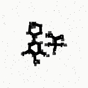 N#Cc1c(F)cc(N2CCNCC2)cc1F.O=C(O)C(F)(F)F